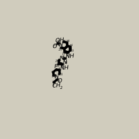 C=CC(=O)N1CCCC(Nc2nc(Nc3ccc4c(c3)CN(C(=O)O)CC4)ncc2F)C1